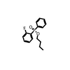 CCCCOP(=O)(c1ccccc1)c1ccccc1F